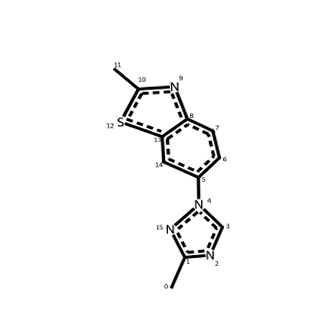 Cc1ncn(-c2ccc3nc(C)sc3c2)n1